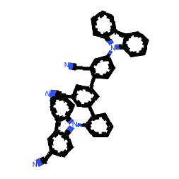 N#Cc1cc(-c2ccc(-n3c4ccccc4c4ccccc43)cc2C#N)cc(-c2ccccc2-n2c3ccccc3c3cc(C#N)ccc32)c1